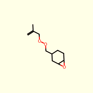 C=C(C)COOCC1CCC2OC2C1